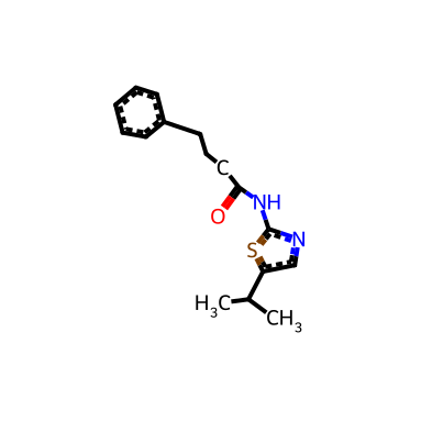 CC(C)c1cnc(NC(=O)CCCc2ccccc2)s1